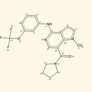 Cn1ccc2c(Nc3cccc(OC(F)(F)F)c3)ncc(C(=O)N3CCCC3)c21